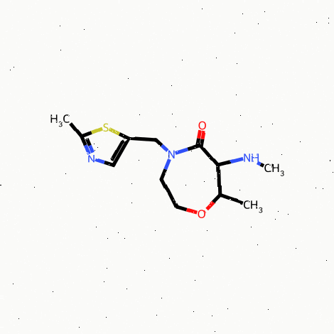 CNC1C(=O)N(Cc2cnc(C)s2)CCOC1C